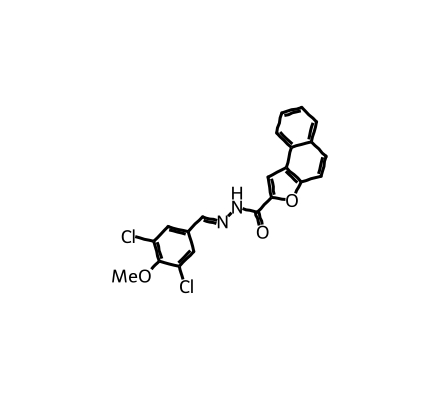 COc1c(Cl)cc(/C=N/NC(=O)c2cc3c(ccc4ccccc43)o2)cc1Cl